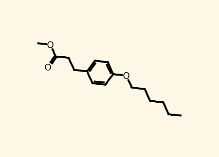 CCCCCCOc1ccc(CCC(=O)OC)cc1